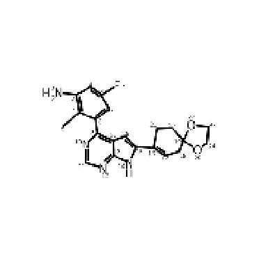 Cc1c(N)cc(F)cc1-c1ncnc2[nH]c(C3=CCC4(CC3)OCCO4)cc12